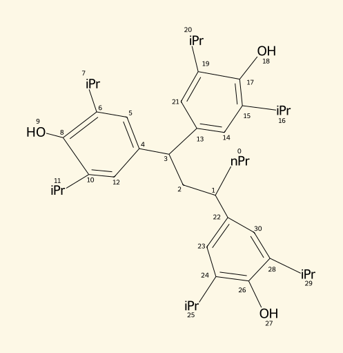 CCCC(CC(c1cc(C(C)C)c(O)c(C(C)C)c1)c1cc(C(C)C)c(O)c(C(C)C)c1)c1cc(C(C)C)c(O)c(C(C)C)c1